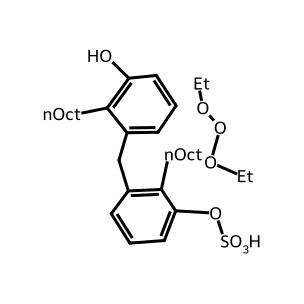 CCCCCCCCc1c(O)cccc1Cc1cccc(OS(=O)(=O)O)c1CCCCCCCC.CCOOOCC